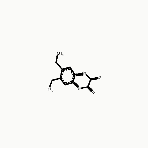 CCc1cc2c(cc1CC)=NC(=O)C(=O)N=2